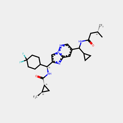 C[C@H](CC(=O)NC(c1cnn2cc([C@@H](NC(=O)[C@@H]3C[C@H]3C(F)(F)F)C3CCC(F)(F)CC3)nc2c1)C1CC1)C(F)(F)F